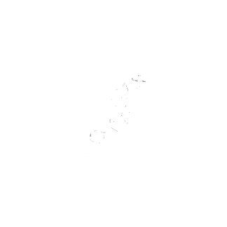 CC(C)(C)Oc1ccc(C(=O)NS(=O)(=O)C(F)(F)C(F)(F)C(F)(F)S(=O)(=O)NS(=O)(=O)C(F)(F)F)cc1